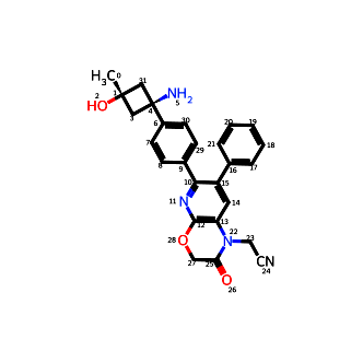 C[C@]1(O)C[C@@](N)(c2ccc(-c3nc4c(cc3-c3ccccc3)N(CC#N)C(=O)CO4)cc2)C1